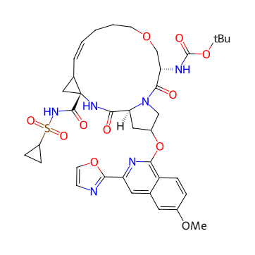 COc1ccc2c(OC3C[C@H]4C(=O)N[C@]5(C(=O)NS(=O)(=O)C6CC6)CC5/C=C\CCCOC[C@H](NC(=O)OC(C)(C)C)C(=O)N4C3)nc(-c3ncco3)cc2c1